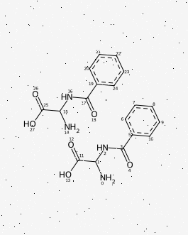 NC(NC(=O)c1ccccc1)C(=O)O.NC(NC(=O)c1ccccc1)C(=O)O